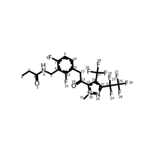 CCC(=O)NCc1c(F)ccc(CC(=O)c2c(C(F)(F)F)c(C(F)(F)C(F)(F)F)nn2C)c1F